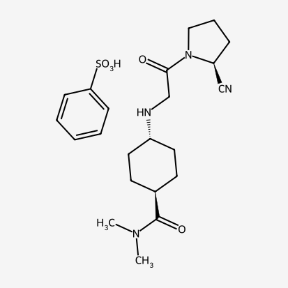 CN(C)C(=O)[C@H]1CC[C@H](NCC(=O)N2CCC[C@H]2C#N)CC1.O=S(=O)(O)c1ccccc1